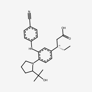 CC[C@@H](CC(=O)O)c1ccc(N2CCCC2C(C)(C)O)c(Nc2ccc(C#N)cc2)c1